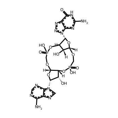 Nc1nc2c(nnn2[C@@H]2O[C@@H]3OCP(=O)(O)O[C@H]4[C@@H](OCP(=O)(O)O[C@H]2[C@H]3O)O[C@@H](n2cnc3c(N)ncnc32)[C@H]4O)c(=O)[nH]1